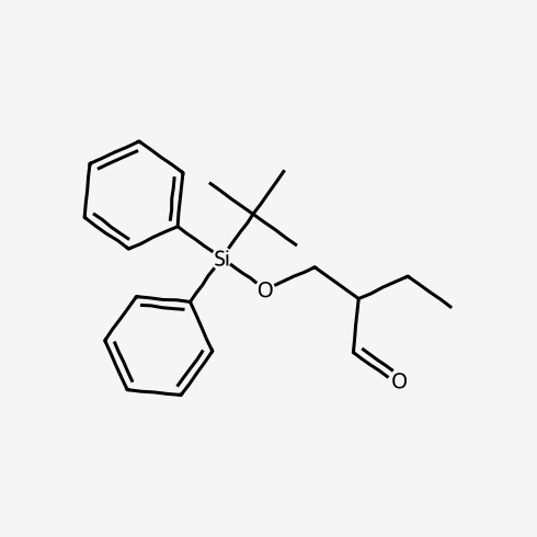 CCC(C=O)CO[Si](c1ccccc1)(c1ccccc1)C(C)(C)C